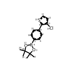 CC1(C)OB(c2ccc(-c3sccc3Cl)cc2)OC1(C)C